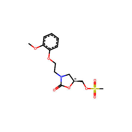 COc1ccccc1OCCN1C[C@@H](COS(C)(=O)=O)OC1=O